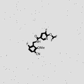 COc1c(C#N)ccc(F)c1CNC(=O)c1cnc(OC(F)F)c(F)c1